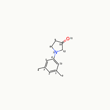 Cc1cc(C)cc(N2CCC(=O)C2)c1